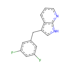 Fc1cc(F)cc(Cc2c[nH]c3ncccc23)c1